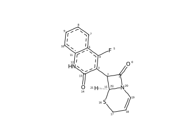 O=C1C(c2c(F)c3ccccc3[nH]c2=O)[C@@H]2SCC=CN12